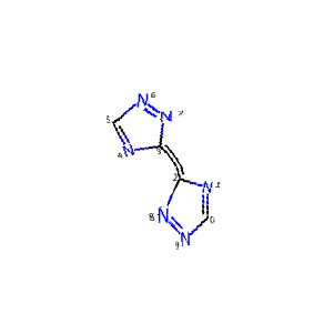 C1=NC(=C2N=CN=N2)N=N1